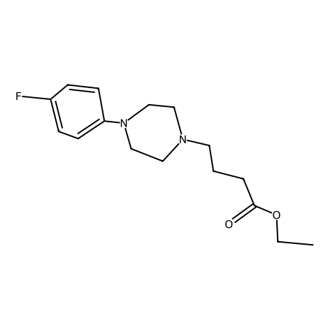 CCOC(=O)CCCN1CCN(c2ccc(F)cc2)CC1